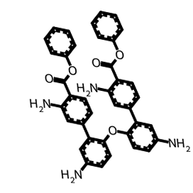 Nc1ccc(Oc2ccc(N)cc2-c2ccc(C(=O)Oc3ccccc3)c(N)c2)c(-c2ccc(C(=O)Oc3ccccc3)c(N)c2)c1